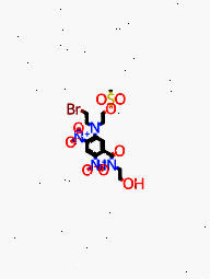 CS(=O)(=O)OCCN(CCBr)c1cc(C(=O)NCCO)c([N+](=O)[O-])cc1[N+](=O)[O-]